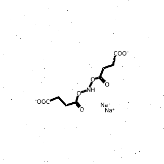 O=C([O-])CCC(=O)ONOC(=O)CCC(=O)[O-].[Na+].[Na+]